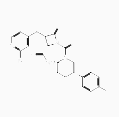 CNC(=O)[C@@H]1C(Cc2ccnc(N)c2)C(=O)N1C(=O)N1CCC[C@H](c2ccc(F)cc2)C1